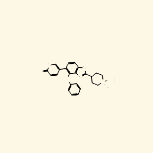 Cn1cc(-c2ccc3[nH]c(C4CCS(O)(O)CC4)nc3c2Oc2ccccc2)ccc1=O